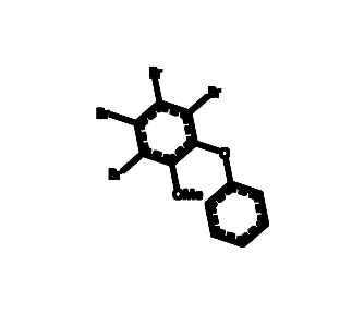 COc1c(Br)c(Br)c(Br)c(Br)c1Oc1ccccc1